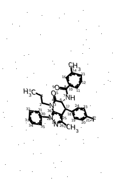 CCCN1C(=O)[C@H](NC(=O)c2cccc(C)c2)C(c2ccc(F)cc2)c2c(C)nn(-c3ccccc3)c21